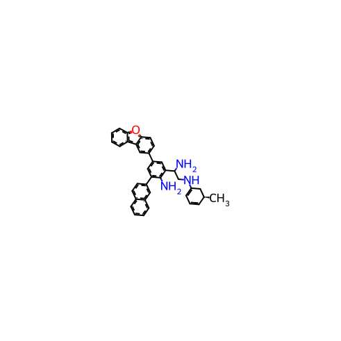 C[C@H]1C=CC=C(NCC(N)c2cc(-c3ccc4oc5ccccc5c4c3)cc(-c3ccc4ccccc4c3)c2N)C1